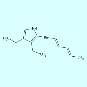 CC=CC=[CH][Ru][c]1[nH]cc(CC)c1CC